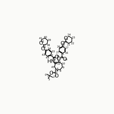 CC(C)(C)OC(=O)N1CCC[C@@H](OC(=O)c2ccc(OC3CCCCO3)cc2)[C@H](NC(=O)c2ccc(OC3CCCCO3)cc2)C1